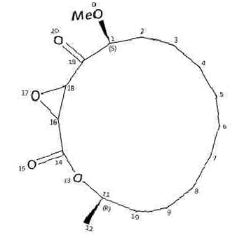 CO[C@H]1CCCCCCCCC[C@@H](C)OC(=O)C2OC2C1=O